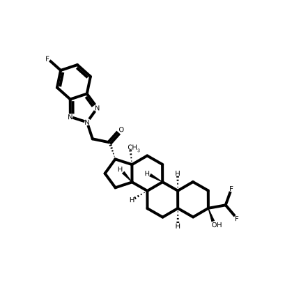 C[C@]12CC[C@H]3[C@@H](CC[C@@H]4C[C@@](O)(C(F)F)CC[C@@H]43)[C@@H]1CC[C@@H]2C(=O)Cn1nc2ccc(F)cc2n1